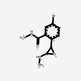 NNC(=O)c1cc(Br)ccc1C1OC1NN